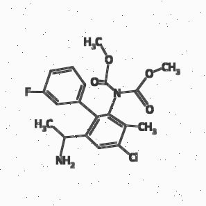 COC(=O)N(C(=O)OC)c1c(C)c(Cl)cc(C(C)N)c1-c1cccc(F)c1